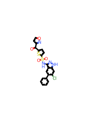 O=C(c1ccon1)c1ccc(S(=O)(=O)Nc2n[nH]c3cc(Cl)c(-c4ccccc4)cc23)s1